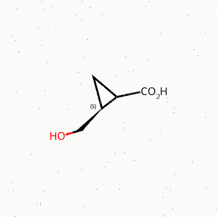 O=C(O)C1C[C@@H]1CO